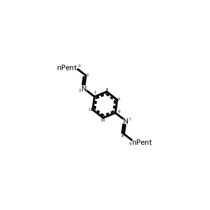 CCCCCC=Nc1ccc(N=CCCCCC)cc1